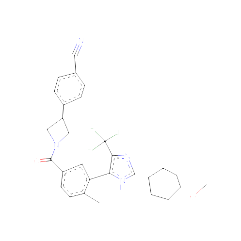 CO[C@H]1CC[C@@H](c2nc(C(F)(F)F)c(-c3cc(C(=O)N4CC(c5ccc(C#N)cc5)C4)ccc3C)[nH]2)CC1